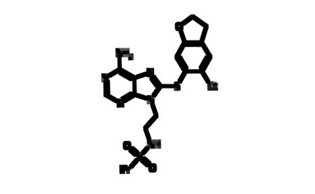 CCc1cc2c(cc1Sc1nc3c(N)ncnc3n1CCNS(=O)(=O)C(C)C)OCC2